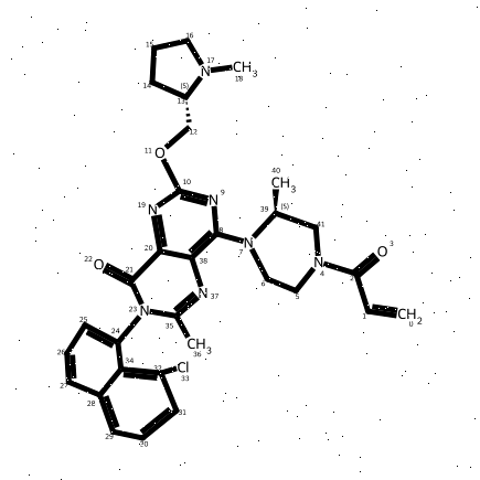 C=CC(=O)N1CCN(c2nc(OC[C@@H]3CCCN3C)nc3c(=O)n(-c4cccc5cccc(Cl)c45)c(C)nc23)[C@@H](C)C1